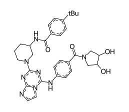 CC(C)(C)c1ccc(C(=O)NC2CCCN(c3nc(Nc4ccc(C(=O)N5CC(O)C(O)C5)cc4)n4ccnc4n3)C2)cc1